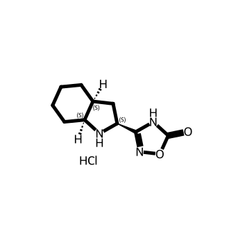 Cl.O=c1[nH]c([C@@H]2C[C@@H]3CCCC[C@@H]3N2)no1